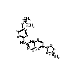 CN(C)Cc1ccc(Nc2ncc3cc(N4CC[C@@H](N)C4)ccc3n2)cc1